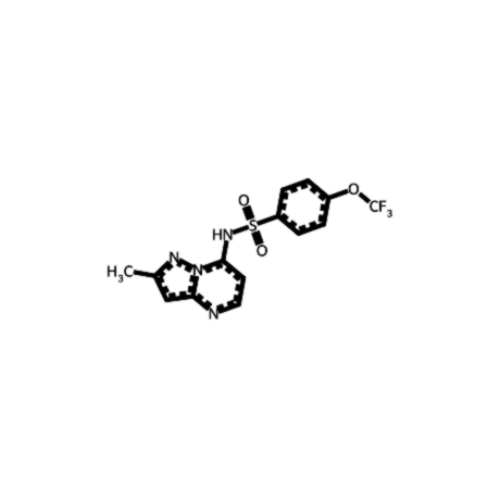 Cc1cc2nccc(NS(=O)(=O)c3ccc(OC(F)(F)F)cc3)n2n1